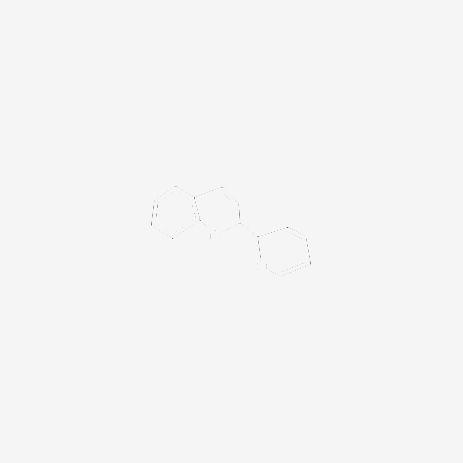 C1=COC(C2C=Cc3ccccc3O2)C=C1